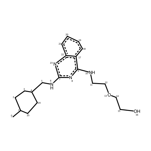 [CH2]C1CCC(CNc2nc(NCCOCCO)c3ccccc3n2)CC1